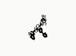 O=C(NC[C@@H]1CC(Br)=NO1)[C@@H]1CC(c2ccccc2)CN1C(=O)OCc1cnc2ccccc2c1